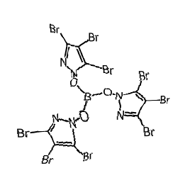 Brc1nn(OB(On2nc(Br)c(Br)c2Br)On2nc(Br)c(Br)c2Br)c(Br)c1Br